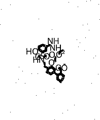 CCOC(=O)COc1cc(-c2ccccc2C(=O)OC)ccc1CCNS(=O)(=O)c1cc(C(=N)N)ccc1O